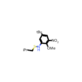 COc1c(NSCC(C)C)cc(C(C)(C)C)cc1[N+](=O)[O-]